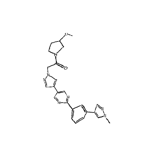 COC1CCN(C(=O)Cn2cc(-c3cnc(-c4cccc(-c5cnn(C)c5)c4)nc3)cn2)C1